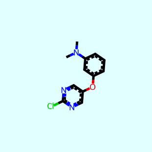 CN(C)c1cccc(Oc2cnc(Cl)nc2)c1